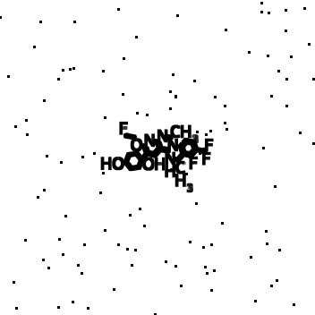 Cc1nc(N[C@H](C)c2cccc(C(F)F)c2F)c2cc(C3(O)CCC(O)CC3)c(OCCF)nc2n1